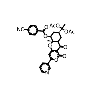 CC(=O)OC(C)(OC(C)=O)[C@H]1CC2C(=O)c3c(cc(-c4cccnc4)oc3=O)O[C@]2(C)[C@@H](OC(=O)c2ccc(C#N)cc2)C1